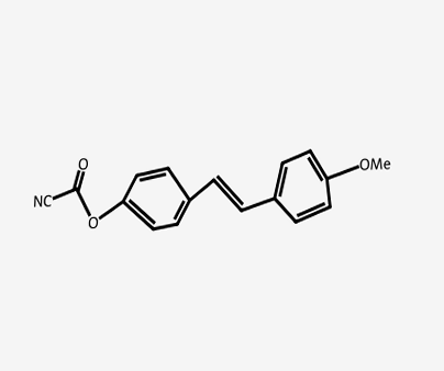 COc1ccc(C=Cc2ccc(OC(=O)C#N)cc2)cc1